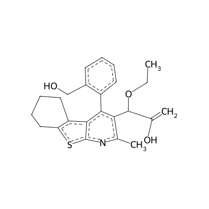 C=C(O)C(OCC)c1c(C)nc2sc3c(c2c1-c1ccccc1CO)CCCC3